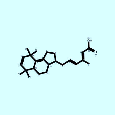 CC(C=CCC1CCC2=C3C(CCC21)C(C)(C)C=CC3(C)C)=CC(=O)O